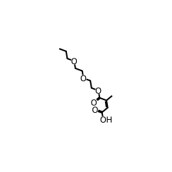 CCCOCCOCCOC(=O)/C(C)=C\C(=O)O